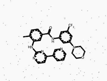 Cc1ccc(C(=O)Nc2cc(N3CCOCC3)cc(C(F)(F)F)c2)cc1Nc1nccc(-c2cccnc2)n1